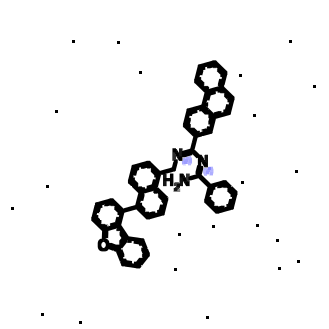 N/C(=N\C(=N/Cc1cccc2c(-c3cccc4oc5ccccc5c34)cccc12)c1ccc2c(ccc3ccccc32)c1)c1ccccc1